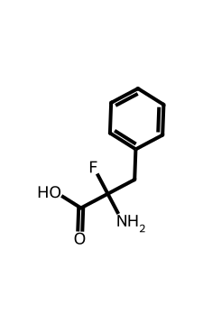 NC(F)(Cc1ccccc1)C(=O)O